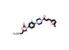 CC(=O)NCC1CN(c2ccc(N3CCN(C(=O)C=Cc4ccc(C)o4)CC3)c(F)c2)C(=O)O1